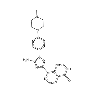 CN1CCN(c2ccc(-c3cn(-c4nccc5c(=O)[nH]cnc45)nc3N)cn2)CC1